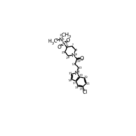 CN(C)S(=O)(=O)C1CCN(C(=O)CCn2ccc3cc(Cl)ccc32)CC1